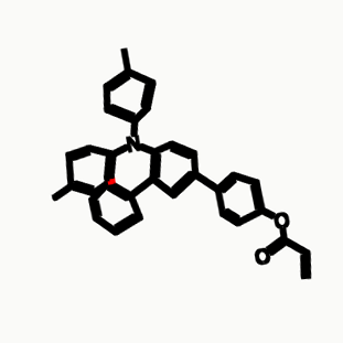 C=CC(=O)Oc1ccc(-c2ccc(N(c3ccc(C)cc3)c3ccc(C)cc3)c(-c3ccccc3)c2)cc1